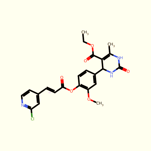 CCOC(=O)C1=C(C)NC(=O)NC1c1ccc(OC(=O)/C=C/c2ccnc(Cl)c2)c(OC)c1